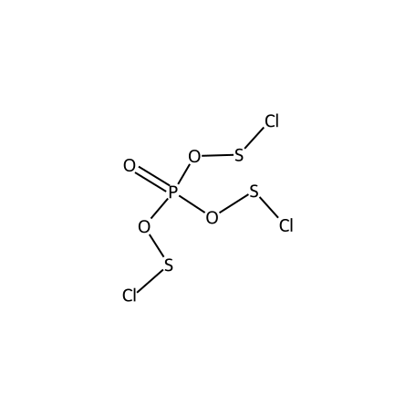 O=P(OSCl)(OSCl)OSCl